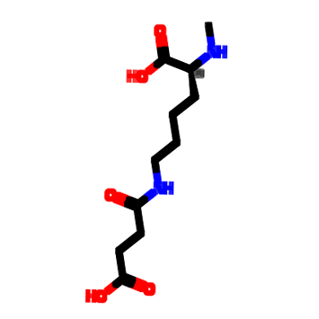 CN[C@@H](CCCCNC(=O)CCC(=O)O)C(=O)O